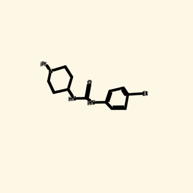 CCc1ccc(NC(=O)NC2CCN(C(C)C)CC2)cc1